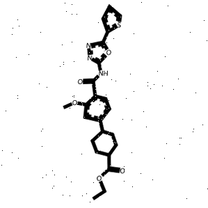 CCOC(=O)C1CCC(c2ccc(C(=O)Nc3nnc(-c4cccs4)o3)c(OC)c2)CC1